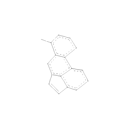 Cc1cccc2c1cc1c3c(cccc32)C=C1